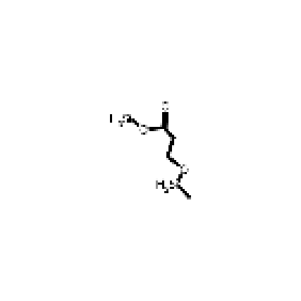 C[SiH2]OCCC(=O)O[SiH3]